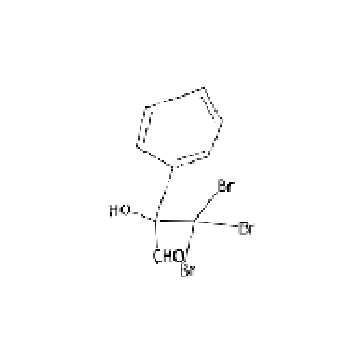 O=[C]C(O)(c1ccccc1)C(Br)(Br)Br